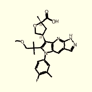 COCC(C)(C)c1c([C@H]2CO[C@](C)(C(=O)O)C2)c2nc3[nH]ncc3cc2n1-c1ccc(F)c(C)c1